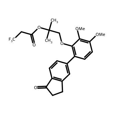 COc1ccc(-c2ccc3c(c2)CCC3=O)c(OCC(C)(C)OC(=O)CC(F)(F)F)c1OC